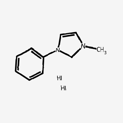 CN1C=CN(c2ccccc2)C1.I.I